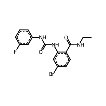 CCNC(=O)c1ccc(Br)cc1NC(=O)Nc1cccc(F)c1